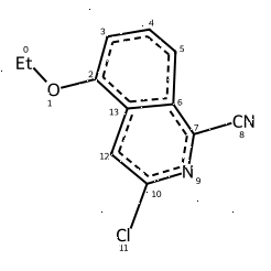 CCOc1cccc2c(C#N)nc(Cl)cc12